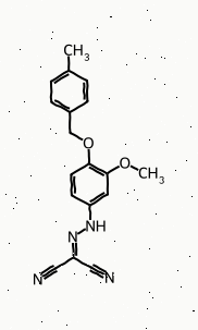 COc1cc(NN=C(C#N)C#N)ccc1OCc1ccc(C)cc1